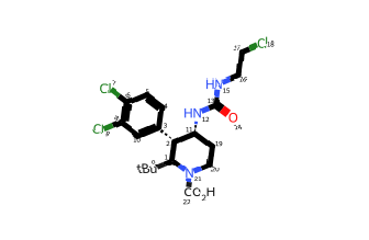 CC(C)(C)C1[C@H](c2ccc(Cl)c(Cl)c2)[C@H](NC(=O)NCCCl)CCN1C(=O)O